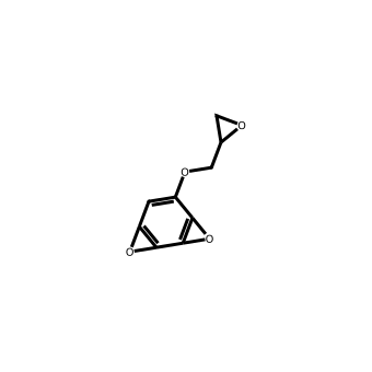 c1c(OCC2CO2)c2oc2c2oc12